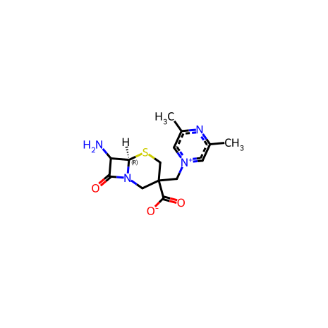 Cc1c[n+](CC2(C(=O)[O-])CS[C@@H]3C(N)C(=O)N3C2)cc(C)n1